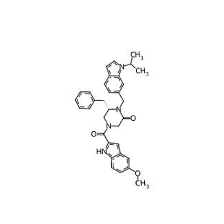 COc1ccc2[nH]c(C(=O)N3CC(=O)N(Cc4ccc5ccn(C(C)C)c5c4)[C@@H](Cc4ccccc4)C3)cc2c1